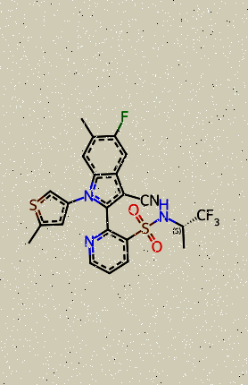 Cc1cc(-n2c(-c3ncccc3S(=O)(=O)N[C@@H](C)C(F)(F)F)c(C#N)c3cc(F)c(C)cc32)cs1